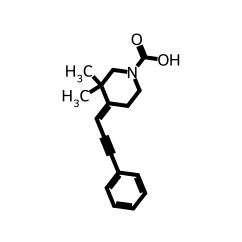 CC1(C)CN(C(=O)O)CC/C1=C\C#Cc1ccccc1